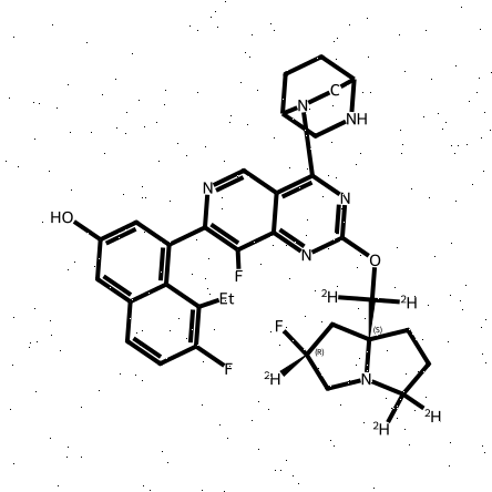 [2H]C1([2H])CC[C@@]2(C([2H])([2H])Oc3nc(N4CC5CCC4CN5)c4cnc(-c5cc(O)cc6ccc(F)c(CC)c56)c(F)c4n3)C[C@@]([2H])(F)CN12